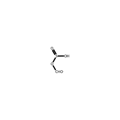 O=[C]OS(=O)O